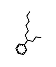 CCCCCCC(CCC)c1cc[c]cc1